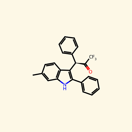 Cc1ccc2c([C@H](C(=O)C(F)(F)F)c3ccccc3)c(-c3ccccc3)[nH]c2c1